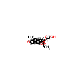 CCC(=O)O[C@]1(C(=O)COC(=O)CCO)[C@@H](C)C[C@H]2[C@@H]3C[C@H](C)C4=CC(=O)CC[C@]4(C)[C@H]3CC[C@@]21C